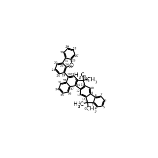 CC1(C)c2ccccc2-c2cc3c(cc21)-c1c(cc(-c2cccc4c2oc2ccccc24)c2ccccc12)C3(C)C